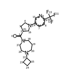 O=C([C@H]1CCN(c2ccc(C(F)(F)F)nc2)C1)N1CCCN(C2CCC2)CC1